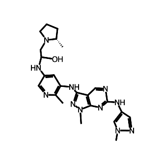 Cc1ncc(NC(O)CN2CCC[C@@H]2C)cc1Nc1nn(C)c2nc(Nc3cnn(C)c3)ncc12